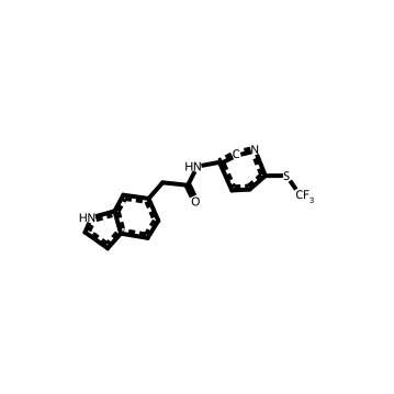 O=C(Cc1ccc2cc[nH]c2c1)Nc1ccc(SC(F)(F)F)nc1